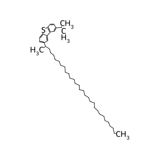 CCCCCCCCCCCCCCCCCCCCCCCCCCCCCC(C)c1ccc2sc3ccc(C(C)C)cc3c2c1